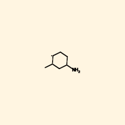 CC1[CH]CCC(N)C1